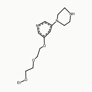 CCOCCOCCOc1cncc(N2CCNCC2)c1